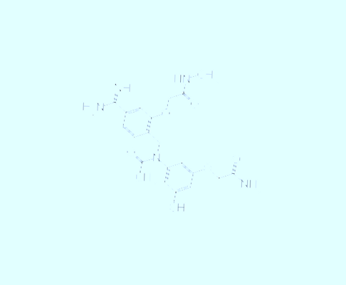 CNC(=O)COc1cc(C(=N)N)ccc1CN(C(C)=O)c1cc(C)cc(OCC(N)=O)c1